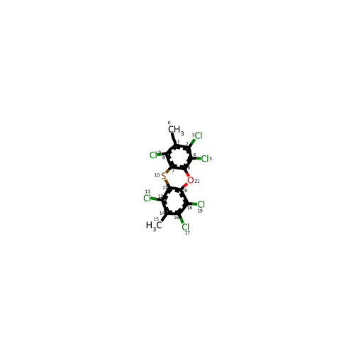 Cc1c(Cl)c(Cl)c2c(c1Cl)Sc1c(Cl)c(C)c(Cl)c(Cl)c1O2